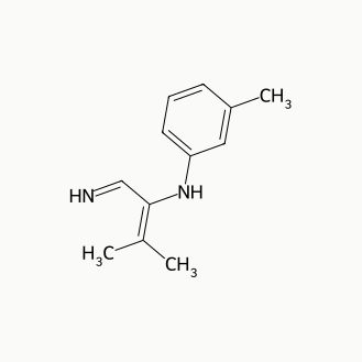 CC(C)=C(C=N)Nc1cccc(C)c1